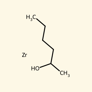 CCCCC(C)O.[Zr]